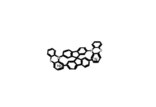 N#Cc1ccc2c(c1)C1(c3cc(C#N)ccc3-2)c2cc(N3c4ccccc4Sc4ccccc43)ccc2-c2ccc(N3c4ccccc4Sc4ccccc43)cc21